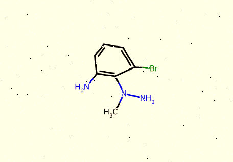 CN(N)c1c(N)cccc1Br